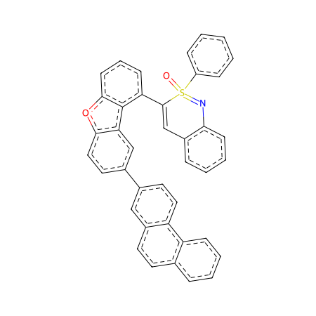 O=S1(c2ccccc2)=Nc2ccccc2C=C1c1cccc2oc3ccc(-c4ccc5c(ccc6ccccc65)c4)cc3c12